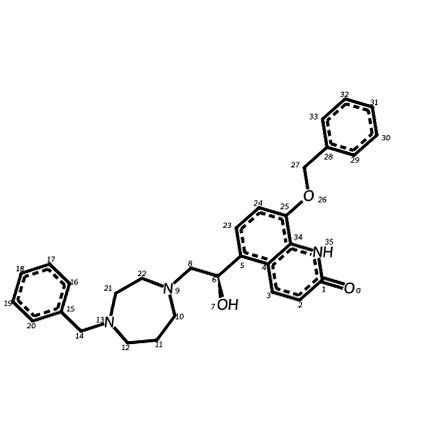 O=c1ccc2c([C@@H](O)CN3CCCN(Cc4ccccc4)CC3)ccc(OCc3ccccc3)c2[nH]1